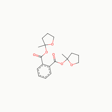 CC1(OC(=O)c2ccccc2C(=O)OC2(C)CCCO2)CCCO1